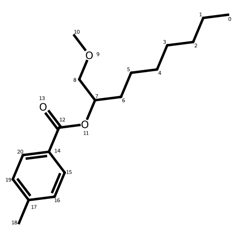 CCCCCCCC(COC)OC(=O)c1ccc(C)cc1